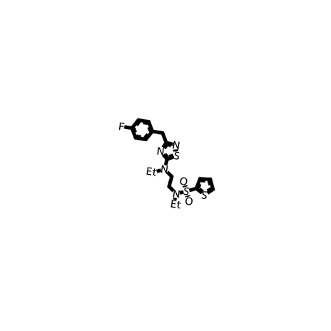 CCN(CCN(CC)S(=O)(=O)c1cccs1)c1nc(Cc2ccc(F)cc2)ns1